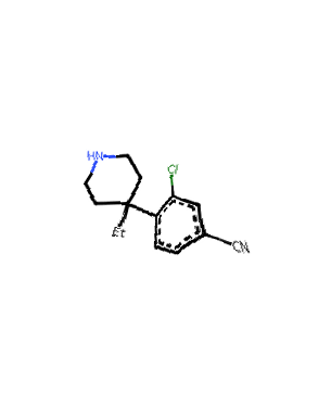 CCC1(c2ccc(C#N)cc2Cl)CCNCC1